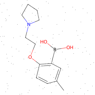 Cc1ccc(OCCN2CCCC2)c(B(O)O)c1